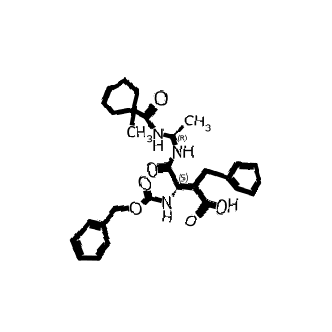 C[C@@H](NC(=O)[C@@H](NC(=O)OCc1ccccc1)C(Cc1ccccc1)C(=O)O)NC(=O)C1(C)CCCCC1